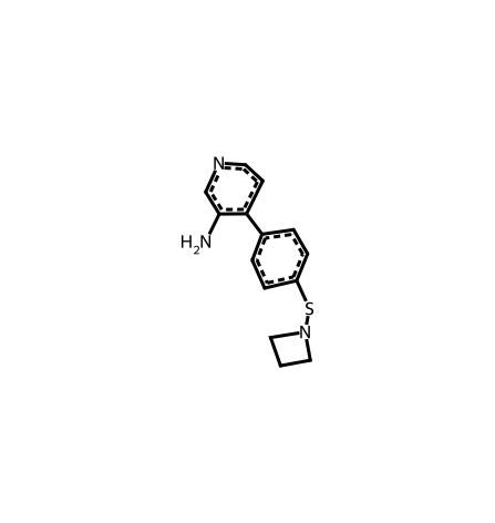 Nc1cnccc1-c1ccc(SN2CCC2)cc1